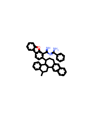 CC1CC2=C(c3ccccc31)C(c1ccc3c(oc4ccccc43)c1C(=N)/N=C(\N)c1ccccc1)CCc1cc3ccccc3cc12